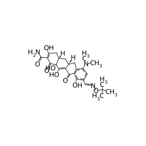 CN(C)c1cc(/C=N/OC(C)(C)C)c(O)c2c1C[C@H]1C[C@H]3CC(O)=C(C(N)=O)C(=O)[C@@]3(O)C(O)=C1C2=O